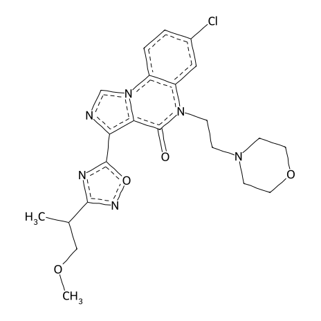 COCC(C)c1noc(-c2ncn3c2c(=O)n(CCN2CCOCC2)c2cc(Cl)ccc23)n1